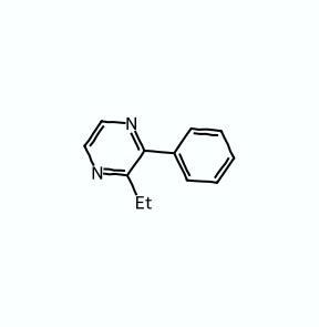 CCc1nccnc1-c1ccccc1